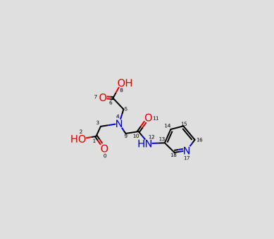 O=C(O)CN(CC(=O)O)CC(=O)Nc1cccnc1